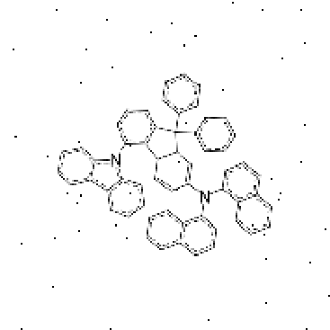 C1=CC2c3c(-n4c5ccccc5c5ccccc54)cccc3C(c3ccccc3)(c3ccccc3)C2C=C1N(c1cccc2ccccc12)c1cccc2ccccc12